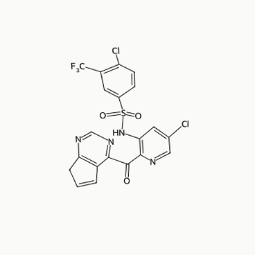 O=C(c1ncc(Cl)cc1NS(=O)(=O)c1ccc(Cl)c(C(F)(F)F)c1)c1ncnc2c1C=CC2